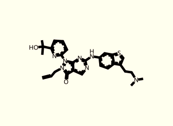 C=CCn1c(=O)c2cnc(Nc3ccc4c(CCN(C)C)csc4c3)nc2n1-c1cccc(C(C)(C)O)n1